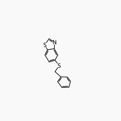 c1ccc(CSc2ccc3scnc3c2)cc1